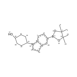 CC1(C)OB(c2ccc3c(ccn3C3CCC(O)CC3)c2)OC1(C)C